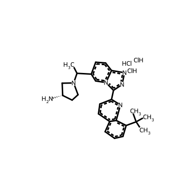 CC(c1ccc2nnc(-c3ccc4cccc(C(C)(C)C)c4n3)n2c1)N1CC[C@H](N)C1.Cl.Cl.Cl